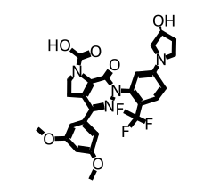 COc1cc(OC)cc(-c2nn(-c3cc(N4CC[C@@H](O)C4)ccc3C(F)(F)F)c(=O)c3c2CCN3C(=O)O)c1